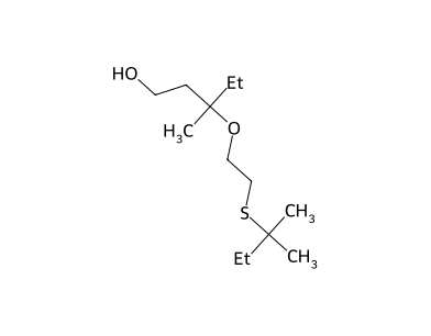 CCC(C)(CCO)OCCSC(C)(C)CC